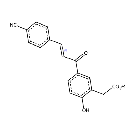 N#Cc1ccc(/C=C/C(=O)c2ccc(O)c(CC(=O)O)c2)cc1